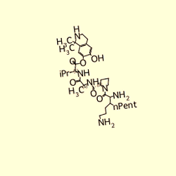 CCCCCC(CCCN)C(N)C(=O)N1CCC[C@H]1C(=O)N[C@@H](C)C(=O)N[C@H](C(=O)Oc1cc2c(cc1O)CCNC2(C)C)C(C)C